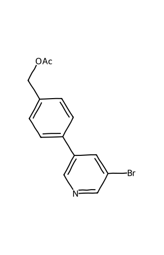 CC(=O)OCc1ccc(-c2cncc(Br)c2)cc1